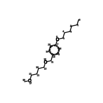 CCCCCCOc1ccc(COCCCCOC)cc1